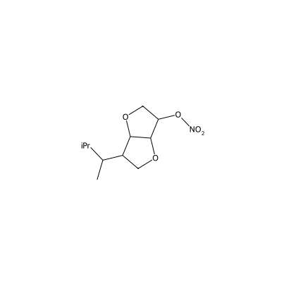 CC(C)C(C)C1COC2C(O[N+](=O)[O-])COC12